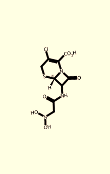 O=C(CN(O)O)NC1C(=O)N2C(C(=O)O)=C(Cl)CS[C@@H]12